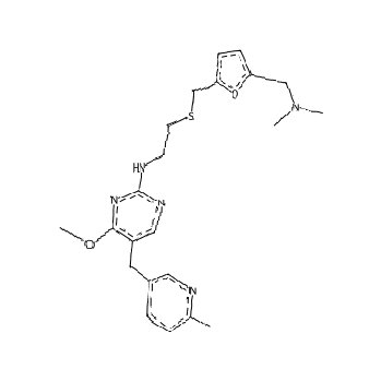 COc1nc(NCCSCc2ccc(CN(C)C)o2)ncc1Cc1ccc(C)nc1